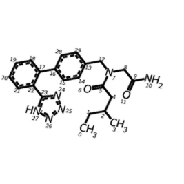 CCC(C)CC(=O)N(CC(N)=O)Cc1ccc(-c2ccccc2-c2nnn[nH]2)cc1